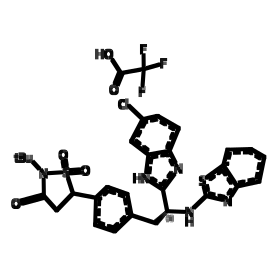 CC(C)(C)N1C(=O)CC(c2ccc(C[C@H](Nc3nc4ccccc4s3)c3nc4ccc(Cl)cc4[nH]3)cc2)S1(=O)=O.O=C(O)C(F)(F)F